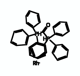 O=C([PH](c1ccccc1)(c1ccccc1)c1ccccc1)[PH](c1ccccc1)(c1ccccc1)c1ccccc1.[Rh]